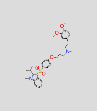 COc1ccc(CCN(C)CCCOc2ccc(S(=O)(=O)c3c(C(C)C)n(C)c4ccccc34)cc2)cc1OC